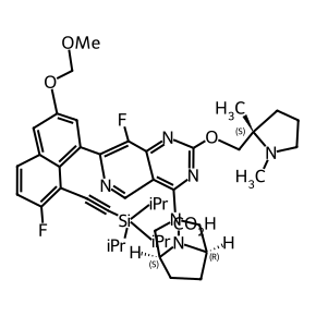 COCOc1cc(-c2ncc3c(N4C[C@H]5CC[C@@H](C4)N5C(=O)O)nc(OC[C@]4(C)CCCN4C)nc3c2F)c2c(C#C[Si](C(C)C)(C(C)C)C(C)C)c(F)ccc2c1